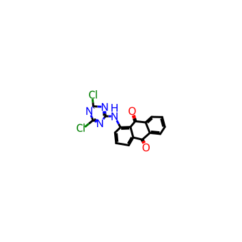 O=C1c2ccccc2C(=O)c2c(Nc3nc(Cl)nc(Cl)n3)cccc21